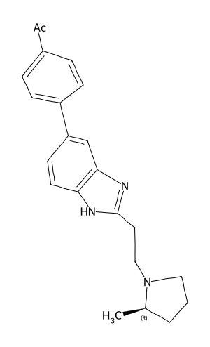 CC(=O)c1ccc(-c2ccc3[nH]c(CCN4CCC[C@H]4C)nc3c2)cc1